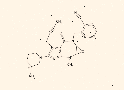 CC#CCn1c(N2CCC[C@@H](N)C2)nc2c1C(=O)N(Cc1ncccc1C#N)C1OC1N2C